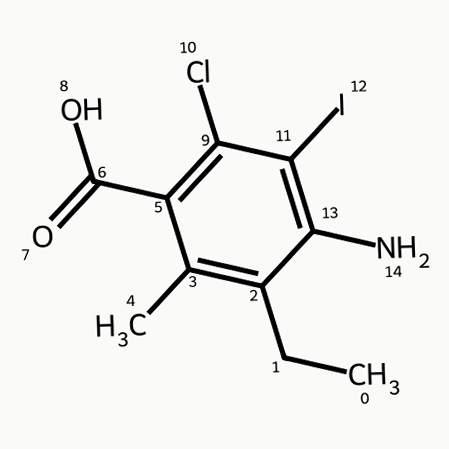 CCc1c(C)c(C(=O)O)c(Cl)c(I)c1N